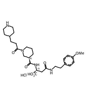 COc1ccc(CCNC(=O)C[C@H](NC(=O)[C@@H]2CCCN(C(=O)CCC3CCNCC3)C2)C(=O)O)cc1.Cl